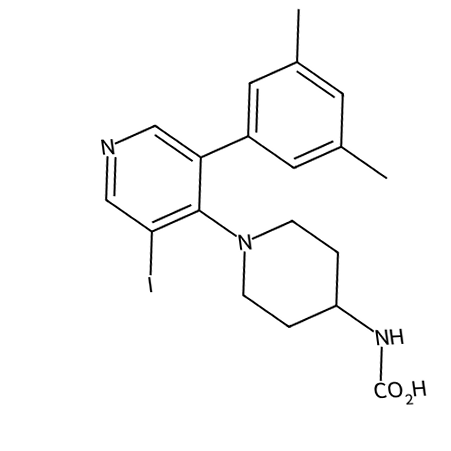 Cc1cc(C)cc(-c2cncc(I)c2N2CCC(NC(=O)O)CC2)c1